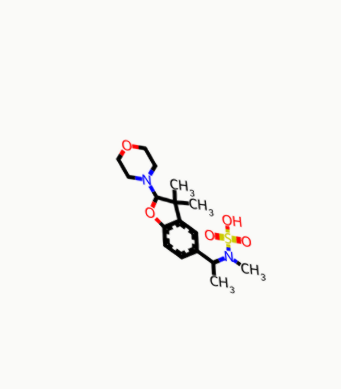 CC(c1ccc2c(c1)C(C)(C)C(N1CCOCC1)O2)N(C)S(=O)(=O)O